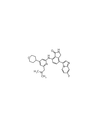 CN(C)Cc1cc(C2CCOCC2)cc(Nc2ccc(-c3cnc4cc(F)ccn34)c3c2C(=O)NC3)n1